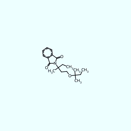 CCC(C)(C)OCCC(C)(CC)N1C(=O)c2ccccc2C1=O